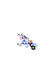 CC[C@H]1CN(C)C(=O)N1c1nc(C)nc(N[C@@H](C)c2cc3ccc(F)c(Cl)c3[nH]c2=O)n1